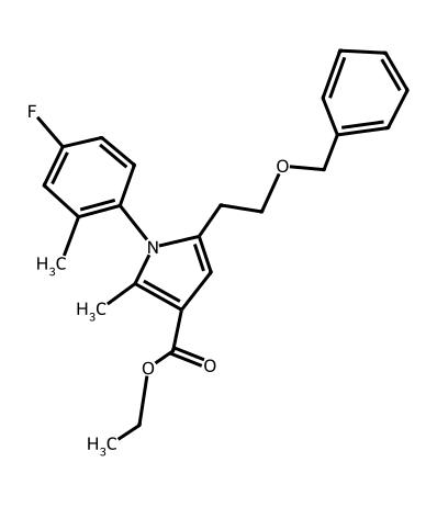 CCOC(=O)c1cc(CCOCc2ccccc2)n(-c2ccc(F)cc2C)c1C